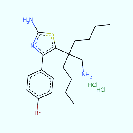 CCCCC(CN)(CCCC)c1sc(N)nc1-c1ccc(Br)cc1.Cl.Cl